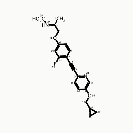 C[C@@H](COc1ccc(C#Cc2ccc(OCC3CC3)cn2)c(F)c1)NC(=O)O